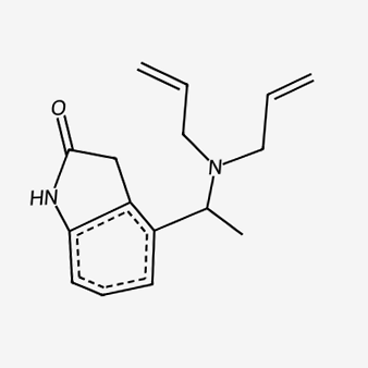 C=CCN(CC=C)C(C)c1cccc2c1CC(=O)N2